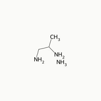 CC(N)CN.N